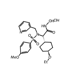 CCO[C@H]1CC[C@H](C(C(=O)NO)N(Cc2cccnc2)S(=O)(=O)c2ccc(OC)cc2)CC1.Cl